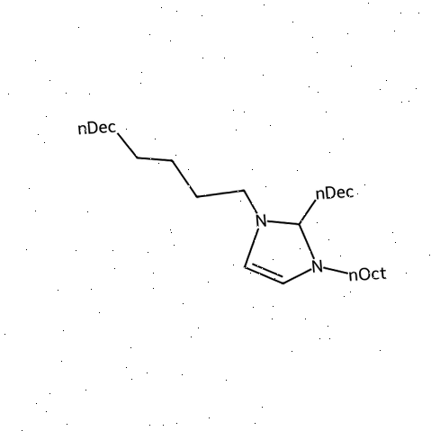 CCCCCCCCCCCCCCN1C=CN(CCCCCCCC)C1CCCCCCCCCC